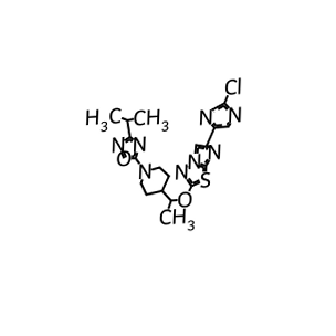 CC(C)c1noc(N2CCC(C(C)Oc3nn4cc(-c5cnc(Cl)cn5)nc4s3)CC2)n1